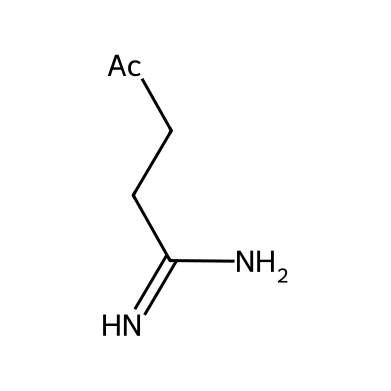 CC(=O)CCC(=N)N